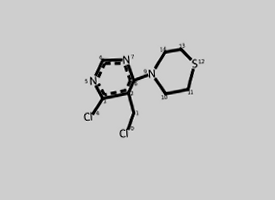 ClCc1c(Cl)ncnc1N1CCSCC1